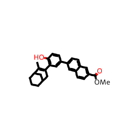 COC(=O)c1ccc2cc(-c3ccc(O)c(C4=C(C)C5CCCC(C4)C5)c3)ccc2c1